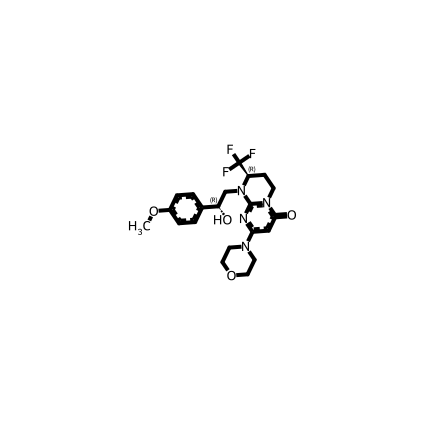 COc1ccc([C@@H](O)CN2c3nc(N4CCOCC4)cc(=O)n3CC[C@@H]2C(F)(F)F)cc1